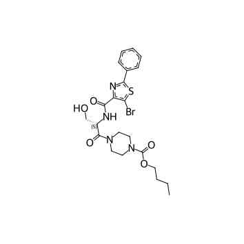 CCCCOC(=O)N1CCN(C(=O)[C@H](CO)NC(=O)c2nc(-c3ccccc3)sc2Br)CC1